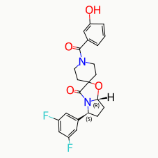 O=C(c1cccc(O)c1)N1CCC2(CC1)O[C@@H]1CC[C@@H](c3cc(F)cc(F)c3)N1C2=O